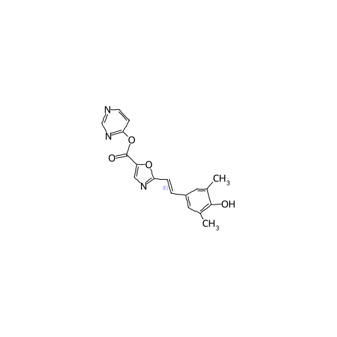 Cc1cc(/C=C/c2ncc(C(=O)Oc3ccncn3)o2)cc(C)c1O